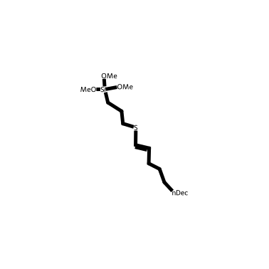 CCCCCCCCCCCCCC=CSCCC[Si](OC)(OC)OC